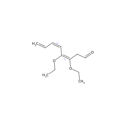 C=C/C=C\C(OCC)=C(/CC=O)OCC